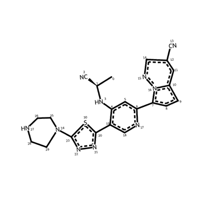 C[C@H](C#N)Nc1cc(-c2ccc3cc(C#N)cnn23)ncc1-c1nnc(N2CCNCC2)s1